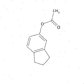 CC(=O)Oc1ccc2c(c1)CCC2